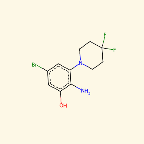 Nc1c(O)cc(Br)cc1N1CCC(F)(F)CC1